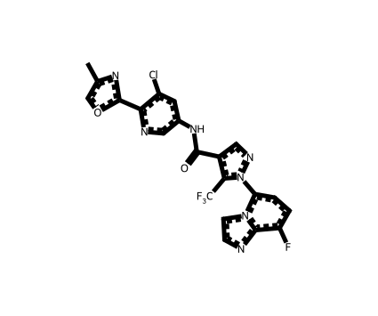 Cc1coc(-c2ncc(NC(=O)c3cnn(-c4ccc(F)c5nccn45)c3C(F)(F)F)cc2Cl)n1